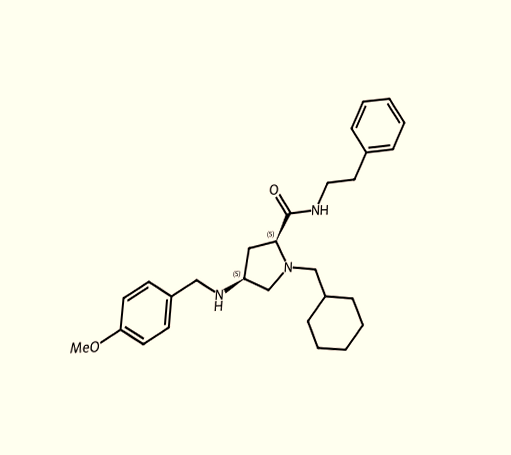 COc1ccc(CN[C@H]2C[C@@H](C(=O)NCCc3ccccc3)N(CC3CCCCC3)C2)cc1